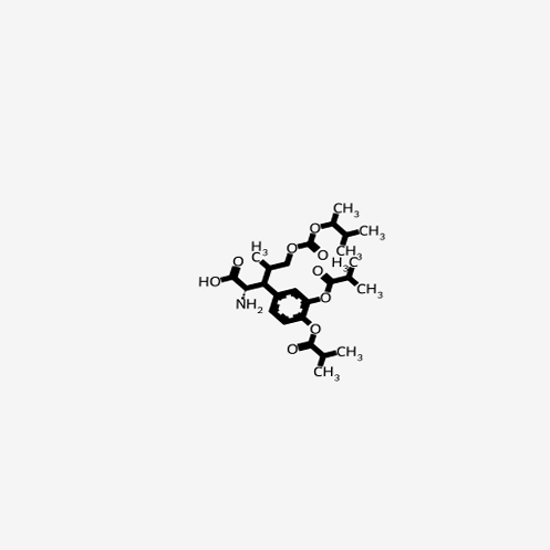 CC(C)C(=O)Oc1ccc(C(C(C)COC(=O)OC(C)C(C)C)[C@H](N)C(=O)O)cc1OC(=O)C(C)C